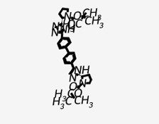 CC(C)(C)OC(=O)N1CCC[C@H]1c1ncc(-c2ccc(-c3ccc(-c4nnc([C@@H]5CCCN5C(=O)OC(C)(C)C)[nH]4)cc3)cc2)[nH]1